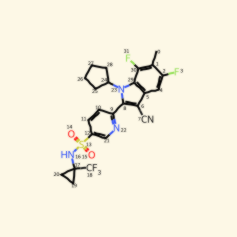 Cc1c(F)cc2c(C#N)c(-c3ccc(S(=O)(=O)NC4(C(F)(F)F)CC4)cn3)n(C3CCCC3)c2c1F